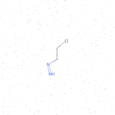 N=NCCCl